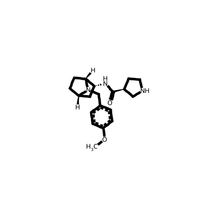 COc1ccc(CN2[C@H]3CC[C@@H]2[C@H](NC(=O)[C@H]2CCNC2)C3)cc1